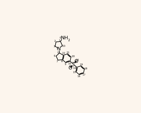 NC1CCN(C2CCc3cc(S(=O)(=O)c4ccccc4)ccc32)C1